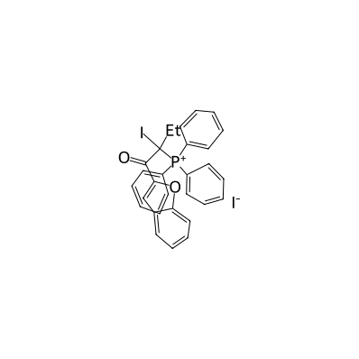 CCC(I)(C(=O)c1cc2ccccc2o1)[P+](c1ccccc1)(c1ccccc1)c1ccccc1.[I-]